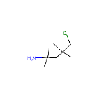 CC(C)(N)CC(C)(C)CCl